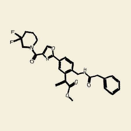 C=C(C(=O)OC)c1cc(-c2nc(C(=O)N3CCCC(F)(F)C3)co2)ccc1CNC(=O)Cc1ccccc1